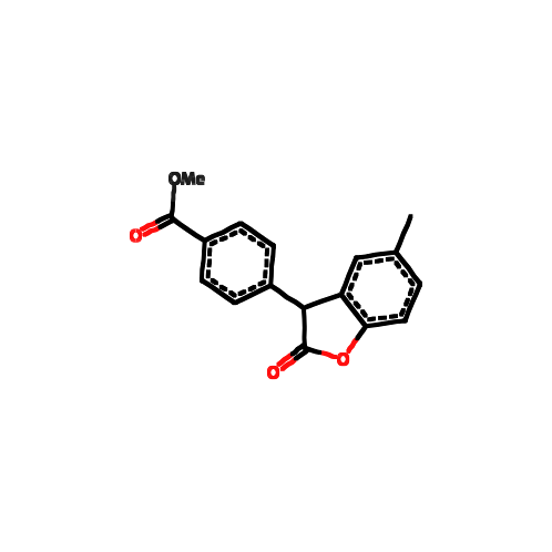 COC(=O)c1ccc(C2C(=O)Oc3ccc(C)cc32)cc1